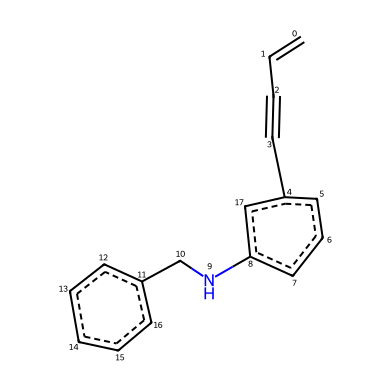 C=CC#Cc1cccc(NCc2ccccc2)c1